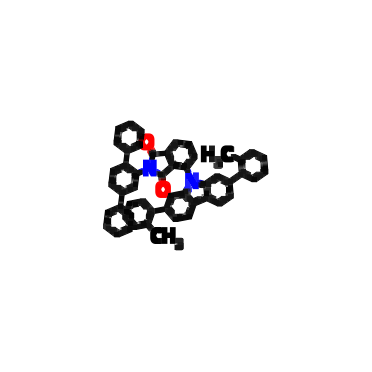 Cc1ccccc1-c1ccc2c3ccc(-c4ccccc4C)cc3n(-c3cccc4c3C(=O)N(c3cc(-c5ccccc5)ccc3-c3ccccc3)C4=O)c2c1